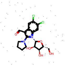 O=Cc1c(N2CCCC2)n([C@@H]2O[C@H](CO)[C@@H](O)[C@H]2O)c2cc(Cl)c(Cl)cc12